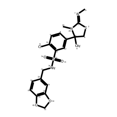 CN=C1SCC(O)(c2ccc(Cl)c(S(=O)(=O)NCc3ccc4c(c3)OCO4)c2)N1C